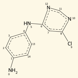 Nc1ccc(Nc2cc(Cl)ncn2)cc1